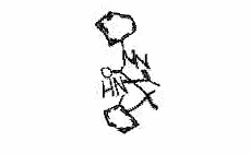 CC1=NN(c2ccccc2)C(=O)C12Nc1ccccc1C2(C)C